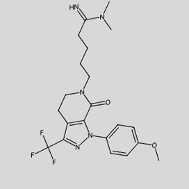 COc1ccc(-n2nc(C(F)(F)F)c3c2C(=O)N(CCCCC(=N)N(C)C)CC3)cc1